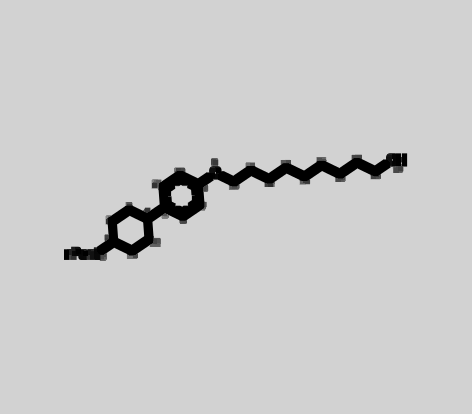 CCCCCC1CCC(c2ccc(OCCCCCCCCCO)cc2)CC1